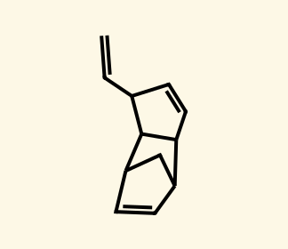 C=CC1C=CC2C3C=CC(C3)C12